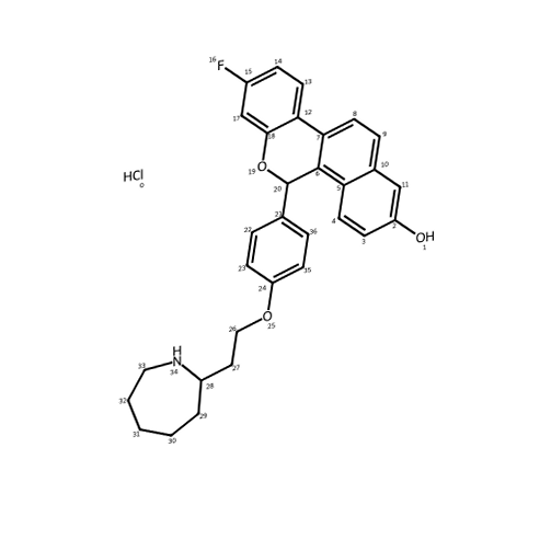 Cl.Oc1ccc2c3c(ccc2c1)-c1ccc(F)cc1OC3c1ccc(OCCC2CCCCCN2)cc1